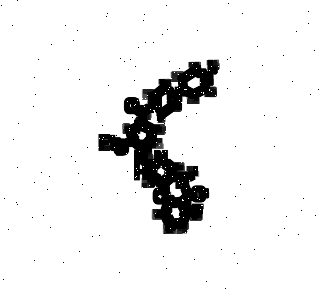 CCOc1cc(C(=O)N2CCN(C3CCN(C)CC3)CC2)ccc1Nc1cc2c(cn1)N(C)C(=O)c1c(F)cccc1O2